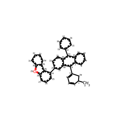 CC1C=CC=C(c2c3ccccc3c(-c3ccccc3)c3ccc(-c4cccc5oc6ccccc6c45)cc23)C1